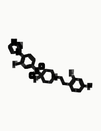 O=S(=O)(c1ccc(-n2ccnn2)c(F)c1)C1(F)CCN(CCc2ccc(F)cc2F)CC1